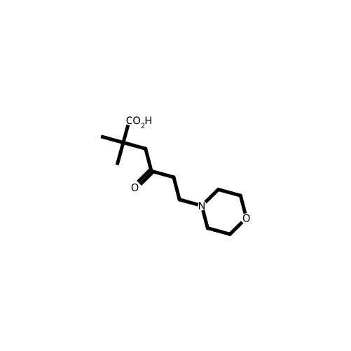 CC(C)(CC(=O)CCN1CCOCC1)C(=O)O